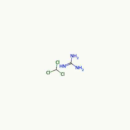 ClC(Cl)Cl.N=C(N)N